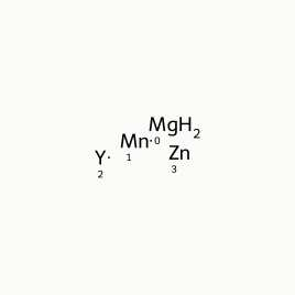 [MgH2].[Mn].[Y].[Zn]